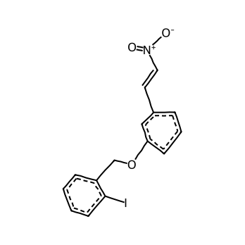 O=[N+]([O-])C=Cc1cccc(OCc2ccccc2I)c1